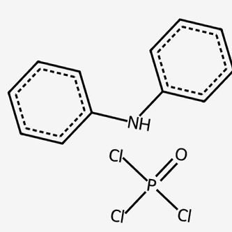 O=P(Cl)(Cl)Cl.c1ccc(Nc2ccccc2)cc1